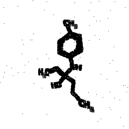 CCCC(O)(CC)Nc1ccc(C)cc1